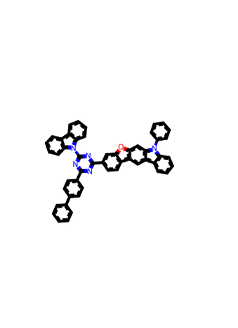 c1ccc(-c2ccc(-c3nc(-c4ccc5c(c4)oc4cc6c(cc45)c4ccccc4n6-c4ccccc4)nc(-n4c5ccccc5c5ccccc54)n3)cc2)cc1